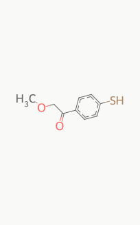 COCC(=O)c1ccc(S)cc1